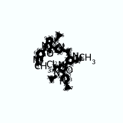 Cn1cc2cc(-n3nc4ccn(CC5CC5)c4c(-c4ccc(C5CC5c5cc(-n6nc7c(Cl)cn(CC8CC8)c7c(-c7ccc(C8CC8)nc7)c6=O)cc6cn(C)nc56)nc4)c3=O)ccc2n1